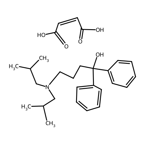 CC(C)CN(CCCC(O)(c1ccccc1)c1ccccc1)CC(C)C.O=C(O)/C=C\C(=O)O